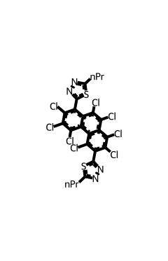 CCCc1nnc(-c2c(Cl)c(Cl)c3c(Cl)c(Cl)c4c(-c5nnc(CCC)s5)c(Cl)c(Cl)c(Cl)c4c3c2Cl)s1